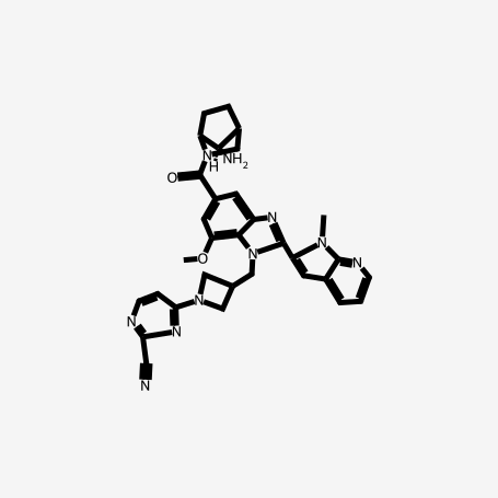 COc1cc(C(=O)N2CC3CCC2[C@@H]3N)cc2nc(-c3cc4cccnc4n3C)n(CC3CN(c4ccnc(C#N)n4)C3)c12